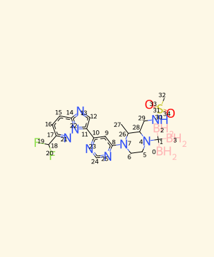 BC(B)(B)N1CCN(c2cc(-c3cnc4ccc(C(F)F)nn34)ncn2)C(C)C1CNS(C)(=O)=O